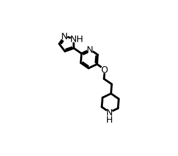 c1cc(-c2ccc(OCCC3CCNCC3)cn2)[nH]n1